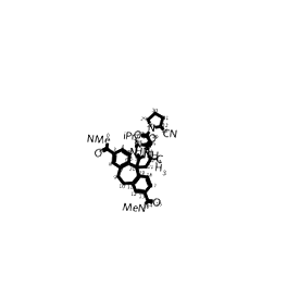 CNC(=O)c1ccc2c(c1)CCc1cc(C(=O)NC)ccc1C2(C[C@H](C)NCC(=O)N1CCCC1C#N)c1nn(C(C)C)c(=O)[nH]1